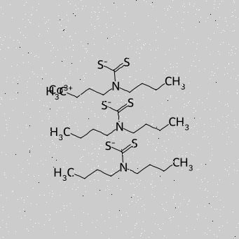 CCCCN(CCCC)C(=S)[S-].CCCCN(CCCC)C(=S)[S-].CCCCN(CCCC)C(=S)[S-].[Co+3]